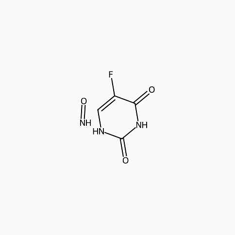 N=O.O=c1[nH]cc(F)c(=O)[nH]1